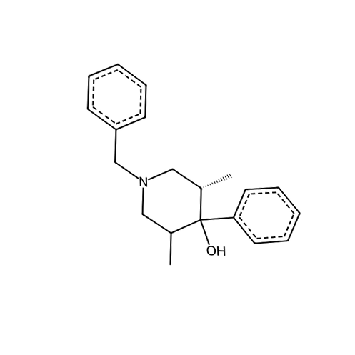 CC1CN(Cc2ccccc2)C[C@H](C)C1(O)c1ccccc1